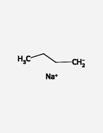 [CH2-]CCC.[Na+]